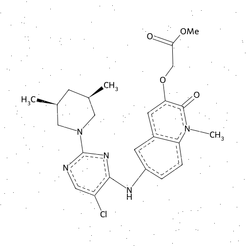 COC(=O)COc1cc2cc(Nc3nc(N4C[C@H](C)C[C@H](C)C4)ncc3Cl)ccc2n(C)c1=O